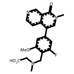 COc1cc(-c2cn(C)c(=O)c3cnccc23)cc(F)c1CN(C)CC(=O)O